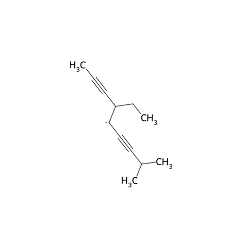 CC#CC([CH]C#CC(C)C)CC